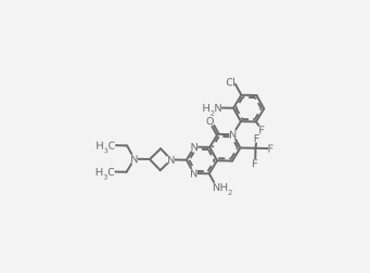 CCN(CC)C1CN(c2nc(N)c3cc(C(F)(F)F)n(-c4c(F)ccc(Cl)c4N)c(=O)c3n2)C1